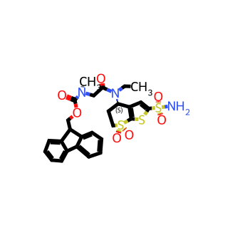 CCN(C(=O)CN(C)C(=O)OCC1c2ccccc2-c2ccccc21)[C@H]1CCS(=O)(=O)c2sc(S(N)(=O)=O)cc21